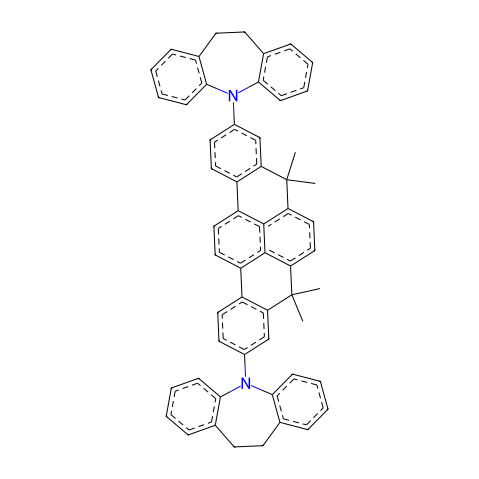 CC1(C)c2cc(N3c4ccccc4CCc4ccccc43)ccc2-c2ccc3c4c(ccc1c24)C(C)(C)c1cc(N2c4ccccc4CCc4ccccc42)ccc1-3